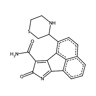 NC(=O)C1=C2C(=NC1=O)c1cccc3ccc(C4CSCCN4)c2c13